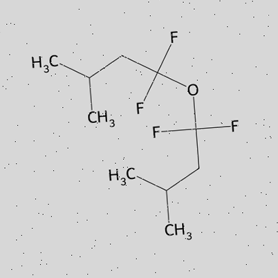 CC(C)CC(F)(F)OC(F)(F)CC(C)C